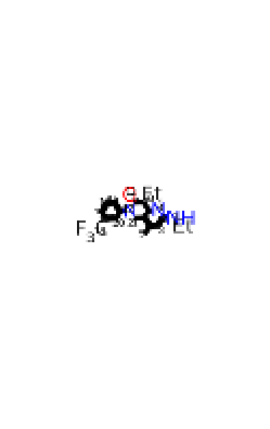 CCNc1cc(C)c2c(n1)C(CC)C(=O)N(c1cccc(C(F)(F)F)c1)C2